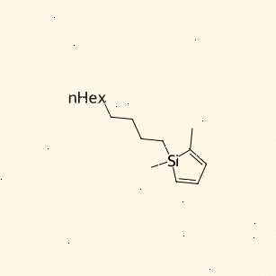 CCCCCCCCCC[Si]1(C)C=CC=C1C